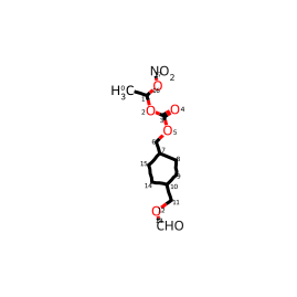 CC(OC(=O)OCC1CCC(COC=O)CC1)O[N+](=O)[O-]